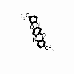 FC(F)(F)c1ccc2c(c1)Oc1cc3c(cc1=N2)Oc1cc(C(F)(F)F)ccc1N=3